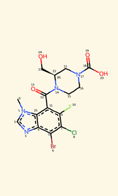 Cn1cnc2c(Br)c(Cl)c(F)c(C(=O)N3CCN(C(=O)O)C[C@@H]3CO)c21